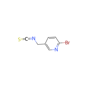 S=C=NCc1ccc(Br)nc1